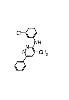 Cc1cc(-c2ccccc2)nnc1Nc1cccc(Cl)c1